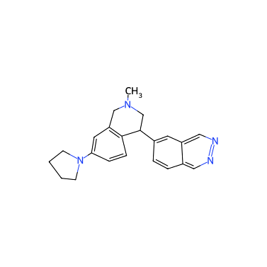 CN1Cc2cc(N3CCCC3)ccc2C(c2ccc3cnncc3c2)C1